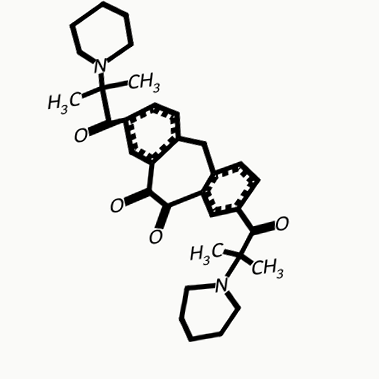 CC(C)(C(=O)c1ccc2c(c1)C(=O)C(=O)c1cc(C(=O)C(C)(C)N3CCCCC3)ccc1C2)N1CCCCC1